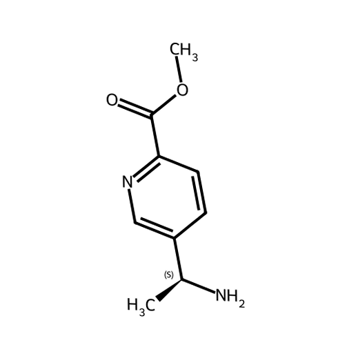 COC(=O)c1ccc([C@H](C)N)cn1